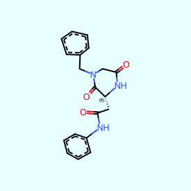 O=C(C[C@H]1NC(=O)CN(Cc2ccccc2)C1=O)Nc1ccccc1